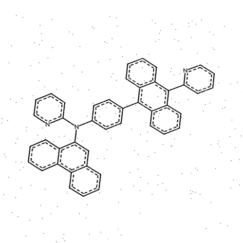 c1ccc(-c2c3ccccc3c(-c3ccc(N(c4ccccn4)c4cc5ccccc5c5ccccc45)cc3)c3ccccc23)nc1